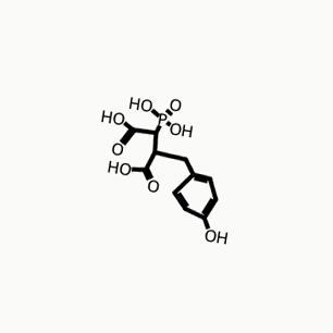 O=C(O)C(Cc1ccc(O)cc1)C(C(=O)O)P(=O)(O)O